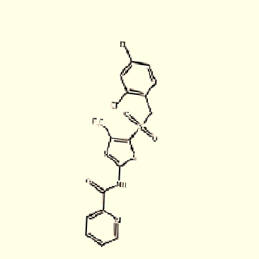 O=C(Nc1nc(C(F)(F)F)c(S(=O)(=O)Cc2ccc(Cl)cc2Cl)s1)c1ccccn1